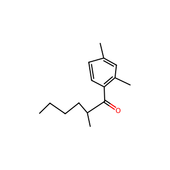 CCCCC(C)C(=O)c1ccc(C)cc1C